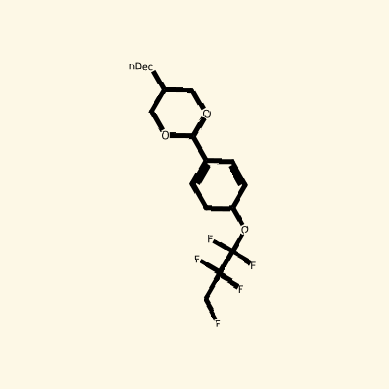 CCCCCCCCCCC1COC(C2=CCC(OC(F)(F)C(F)(F)CF)C=C2)OC1